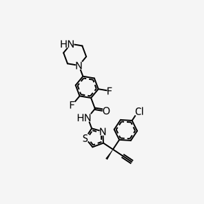 C#C[C@@](C)(c1ccc(Cl)cc1)c1csc(NC(=O)c2c(F)cc(N3CCNCC3)cc2F)n1